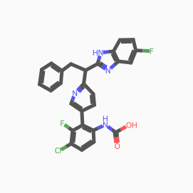 O=C(O)Nc1ccc(Cl)c(F)c1-c1ccc(C(Cc2ccccc2)c2nc3cc(F)ccc3[nH]2)nc1